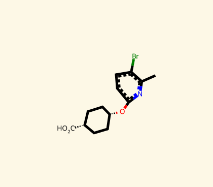 Cc1nc(O[C@H]2CC[C@@H](C(=O)O)CC2)ccc1Br